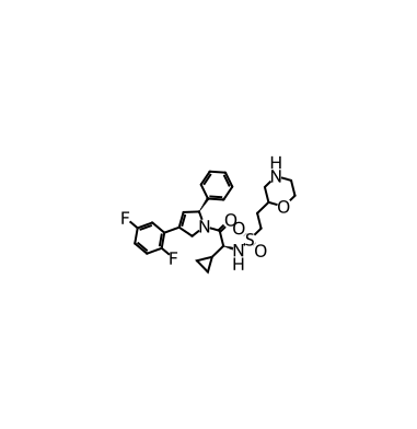 O=C([C@@H](NS(=O)(=O)CCC1CNCCO1)C1CC1)N1CC(c2cc(F)ccc2F)=C[C@H]1c1ccccc1